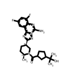 C[C@H]1CC[C@@H](c2nc3c4cc(F)cc(F)c4nc(N)n3n2)CN1C(=O)C1CCC(C(C)(C)O)C1